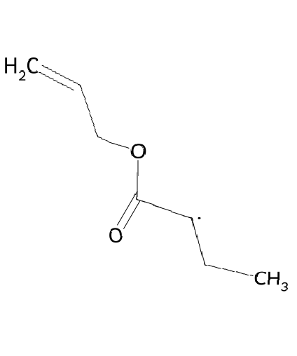 C=CCOC(=O)[CH]CC